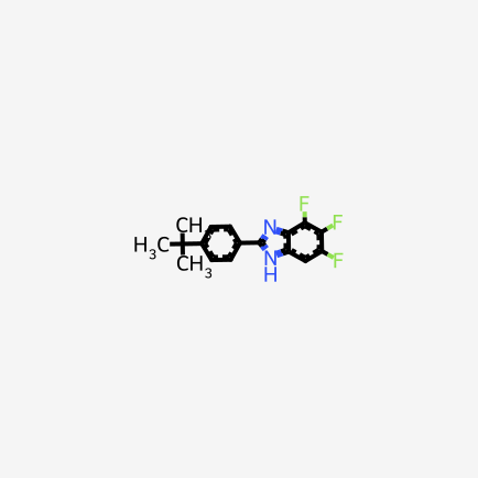 CC(C)(C)c1ccc(-c2nc3c(F)c(F)c(F)cc3[nH]2)cc1